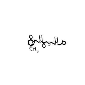 Cc1ccc(=O)n(CCNC(=O)CSCCNCC2CCC2)c1